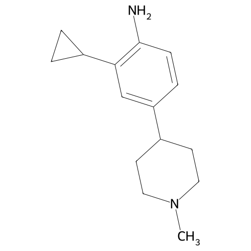 CN1CCC(c2ccc(N)c(C3CC3)c2)CC1